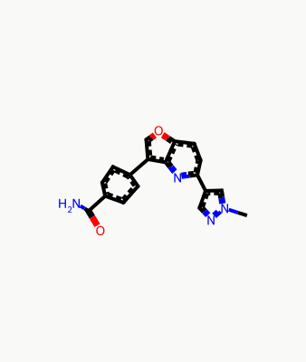 Cn1cc(-c2ccc3occ(-c4ccc(C(N)=O)cc4)c3n2)cn1